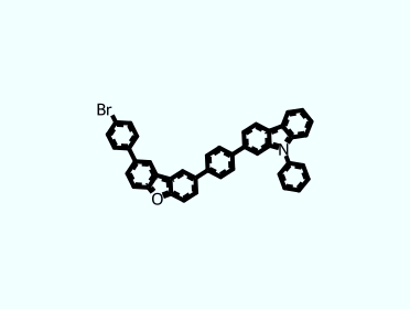 Brc1ccc(-c2ccc3oc4ccc(-c5ccc(-c6ccc7c8ccccc8n(-c8ccccc8)c7c6)cc5)cc4c3c2)cc1